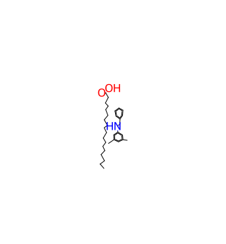 CCCCCCCCCCCCCCCCCC(=O)O.Cc1cc(C)cc(NCc2ccccc2)c1